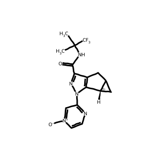 CC(C)(NC(=O)c1nn(-c2c[n+]([O-])ccn2)c2c1CC1C[C@H]21)C(F)(F)F